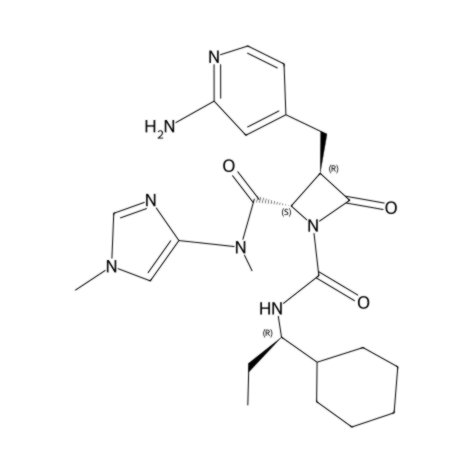 CC[C@@H](NC(=O)N1C(=O)[C@H](Cc2ccnc(N)c2)[C@H]1C(=O)N(C)c1cn(C)cn1)C1CCCCC1